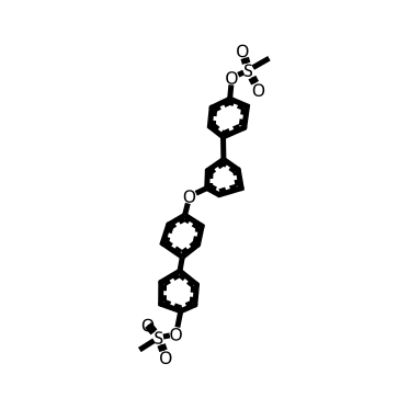 CS(=O)(=O)Oc1ccc(-c2ccc(Oc3cccc(-c4ccc(OS(C)(=O)=O)cc4)c3)cc2)cc1